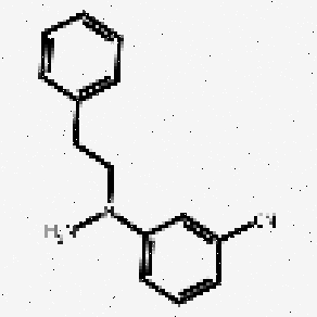 N#Cc1cccc(N(N)CCc2ccccc2)c1